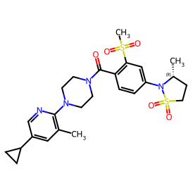 Cc1cc(C2CC2)cnc1N1CCN(C(=O)c2ccc(N3[C@H](C)CCS3(=O)=O)cc2S(C)(=O)=O)CC1